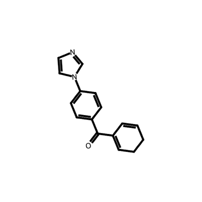 O=C(C1=CCCC=C1)c1ccc(-n2ccnc2)cc1